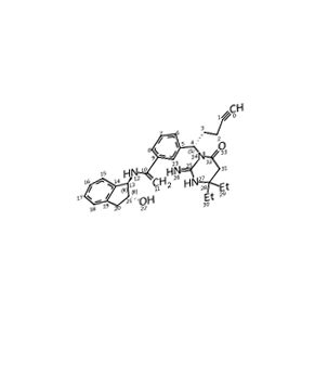 C#CCC[C@@H](c1cccc(C(=C)N[C@@H]2c3ccccc3C[C@H]2O)c1)N1C(=N)NC(CC)(CC)CC1=O